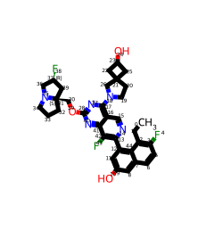 CCc1c(F)ccc2cc(O)cc(-c3ncc4c(N5CCC6(CC(O)C6)C5)nc(OC[C@@]56CCCN5C[C@H](F)C6)nc4c3F)c12